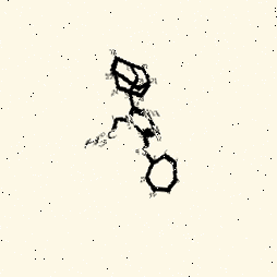 CCn1c(SC2CCCCCC2)nnc1C12CC3CC(CC(C3)C1)C2